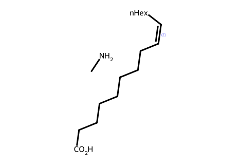 CCCCCC/C=C\CCCCCCCC(=O)O.CN